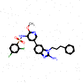 COc1ncc(-c2ccc3nc(N)n(CCCc4ccccc4)c3c2)cc1NS(=O)(=O)c1ccc(F)cc1F